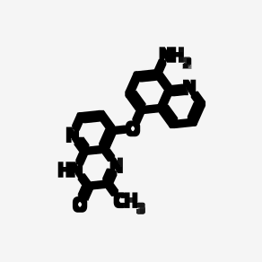 Cc1nc2c(Oc3ccc(N)c4ncccc34)ccnc2[nH]c1=O